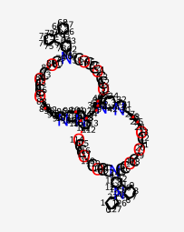 c1ccc(-n2c3ccccc3c3cc(N4CCOCCOCCOc5ccc(cc5)-c5ccc6ccc7ccc(nc7c6n5)C5(c6ccc(cc6)OCCOCCOCCN(c6ccc7c8ccccc8c8ccccc8c7c6)CCOCCOCCOc6ccc(cc6)-c6ccc7ccc8ccc5nc8c7n6)c5ccc(cc5)OCCOCCOCC4)ccc32)cc1